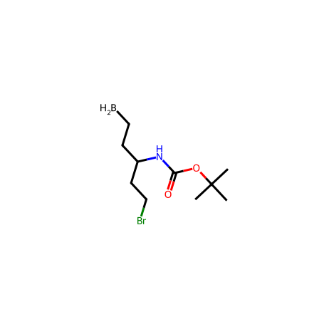 BCCC(CCBr)NC(=O)OC(C)(C)C